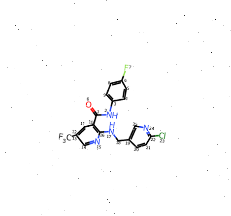 O=C(Nc1ccc(F)cc1)c1cc(C(F)(F)F)cnc1NCc1ccc(Cl)nc1